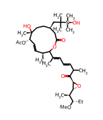 CC[C@H](OC)[C@@H](C)[C@H]1O[C@@H]1C(=O)C(C)/C=C/C=C(\C)C1OC(=O)C[C@H](CC(C)(C)[Si](C)(C)O)CC[C@@](C)(O)[C@@H](OC(C)=O)/C=C/[C@@H]1C